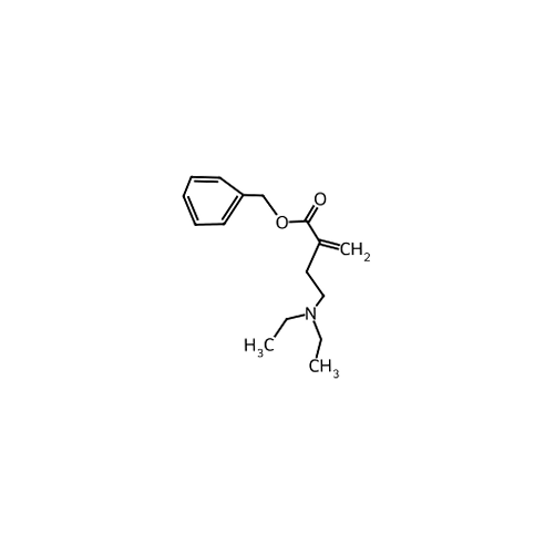 C=C(CCN(CC)CC)C(=O)OCc1ccccc1